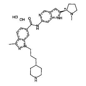 Cc1nn(CCCC2CCNCC2)c2cc(C(=O)Nc3cc4[nH]c([C@H]5CCCN5C)cc4cn3)ccc12.Cl.Cl